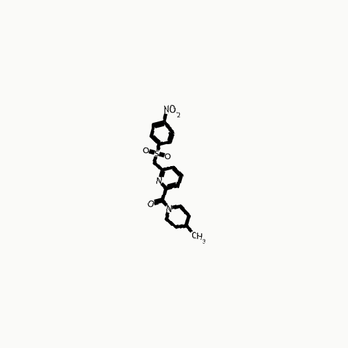 CC1CCN(C(=O)c2cccc(CS(=O)(=O)c3ccc([N+](=O)[O-])cc3)n2)CC1